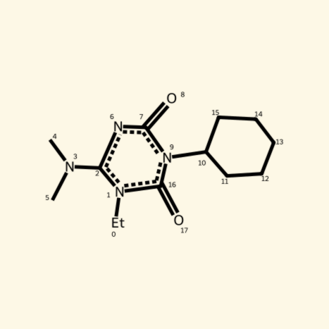 CCn1c(N(C)C)nc(=O)n(C2CCCCC2)c1=O